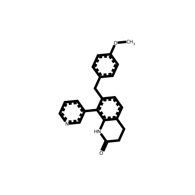 COc1ccc(Cc2ccc3c(c2-c2cccnc2)NC(=O)CC3)cc1